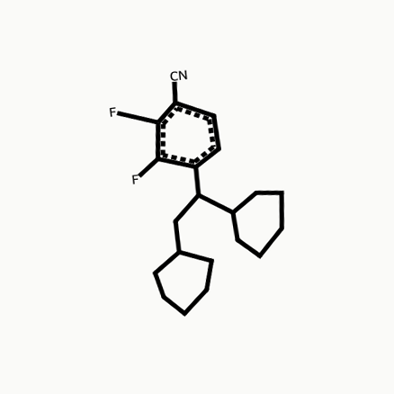 N#Cc1ccc(C(CC2CCCCC2)C2CCCCC2)c(F)c1F